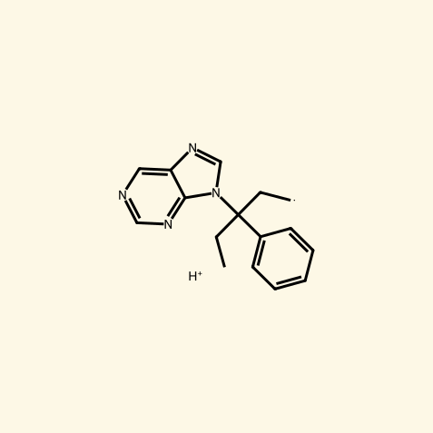 [CH2]CC(CC)(c1ccccc1)n1cnc2cncnc21.[H+]